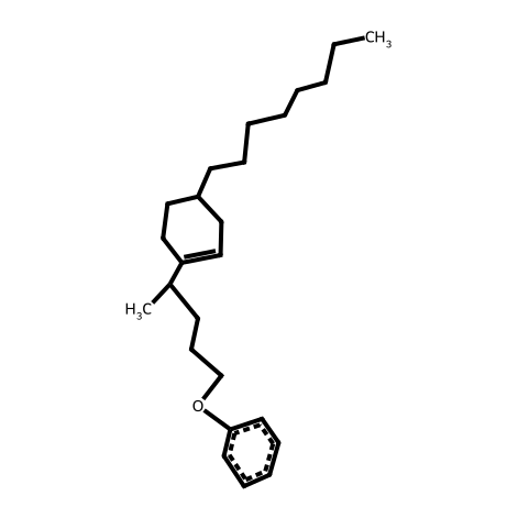 CCCCCCCCC1CC=C(C(C)CCCOc2ccccc2)CC1